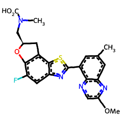 COc1cnc2c(-c3nc4cc(F)c5c(c4s3)C[C@H](CN(C)C(=O)O)O5)cc(C)cc2n1